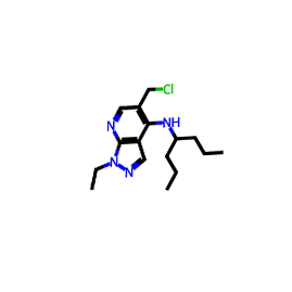 CCCC(CCC)Nc1c(CCl)cnc2c1cnn2CC